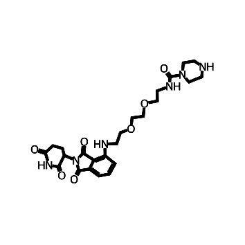 O=C1CCC(N2C(=O)c3cccc(NCCOCCOCCNC(=O)N4CCNCC4)c3C2=O)C(=O)N1